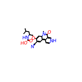 CC(C)CC(COC1=CC2C(=C3C=CNC=C3C(=O)N2C)C=C1C#N)NC(=O)O